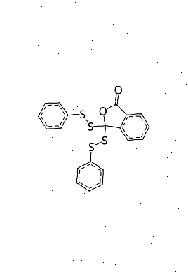 O=C1OC(SSc2ccccc2)(SSc2ccccc2)c2ccccc21